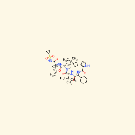 C=C[C@@H]1C[C@]1(NC(=O)[C@@H]1C[C@@]2(CN1C(=O)[C@@H](NC(=O)[C@@H](NC(=O)c1ccc[nH]1)C1CCCCC1)C(C)(C)C)C(C)(C)C21CCC1)C(=O)NS(=O)(=O)C1CC1